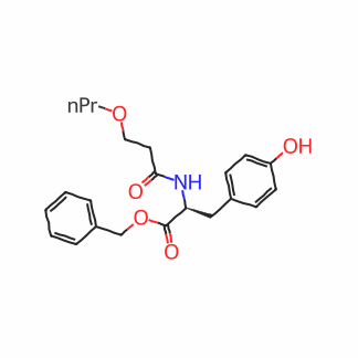 CCCOCCC(=O)N[C@@H](Cc1ccc(O)cc1)C(=O)OCc1ccccc1